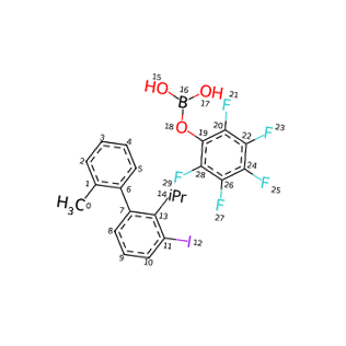 Cc1ccccc1-c1cccc(I)c1C(C)C.OB(O)Oc1c(F)c(F)c(F)c(F)c1F